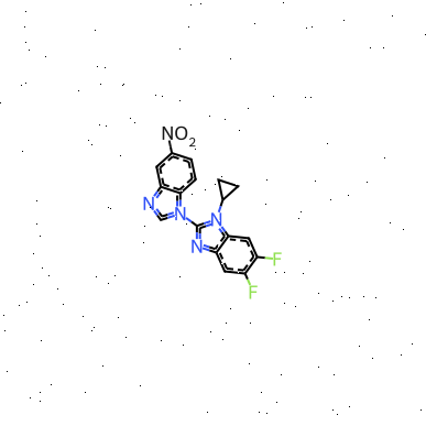 O=[N+]([O-])c1ccc2c(c1)ncn2-c1nc2cc(F)c(F)cc2n1C1CC1